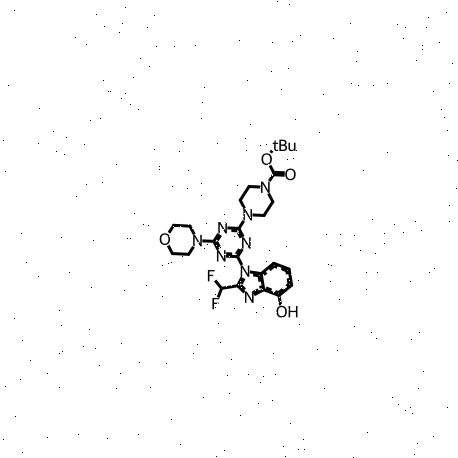 CC(C)(C)OC(=O)N1CCN(c2nc(N3CCOCC3)nc(-n3c(C(F)F)nc4c(O)cccc43)n2)CC1